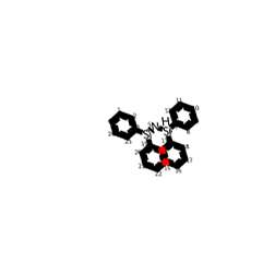 c1ccc([Si](=N[SiH](c2ccccc2)c2ccccc2)c2ccccc2)cc1